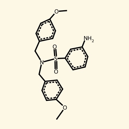 COc1ccc(CN(Cc2ccc(OC)cc2)S(=O)(=O)c2cccc(N)c2)cc1